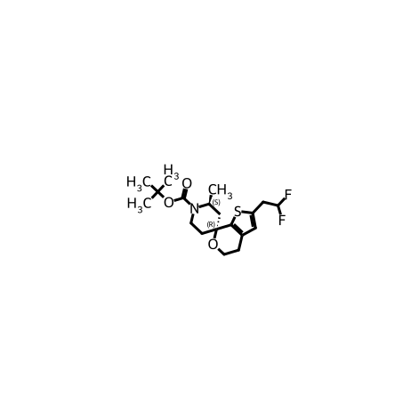 C[C@H]1C[C@@]2(CCN1C(=O)OC(C)(C)C)OCCc1cc(CC(F)F)sc12